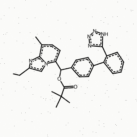 CCc1cn2c(C(OC(=O)C(C)(C)C)c3ccc(-c4ccccc4-c4nnn[nH]4)cc3)ccc(C)c2n1